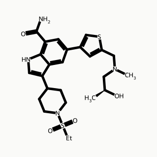 CCS(=O)(=O)N1CCC(c2c[nH]c3c(C(N)=O)cc(-c4csc(CN(C)C[C@H](C)O)c4)cc23)CC1